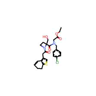 CCOC(=O)CN(Cc1ccc(Cl)cc1)C(=O)C1(CO)CCN1C(=O)Cc1csc2c1C=CCC2